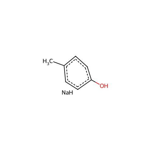 Cc1ccc(O)cc1.[NaH]